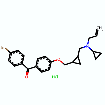 C=CCN(CC1CC1COc1ccc(C(=O)c2ccc(Br)cc2)cc1)C1CC1.Cl